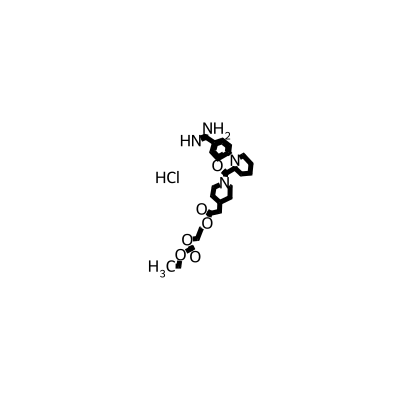 CCOC(=O)OCCOC(=O)CC1CCN(C(=O)C2CCCCN2c2ccc(C(=N)N)cc2)CC1.Cl